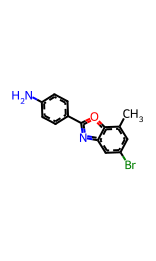 Cc1cc(Br)cc2nc(-c3ccc(N)cc3)oc12